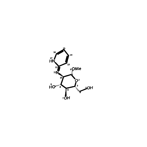 CO[C@@H]1O[C@H](CO)[C@@H](O)[C@H](O)[C@H]1N=c1cccc[nH]1